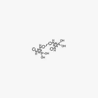 OCCN(CCO)c1nc(Nc2ccccc2)nc(Nc2ccc(/C=C/c3ccc(Nc4nc(Nc5ccccc5)nc(N(CCO)CCO)n4)cc3)cc2)n1